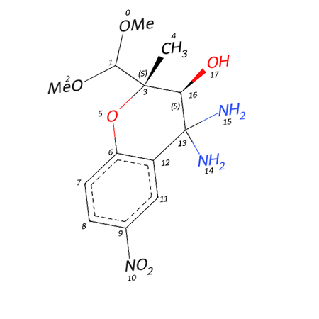 COC(OC)[C@@]1(C)Oc2ccc([N+](=O)[O-])cc2C(N)(N)[C@@H]1O